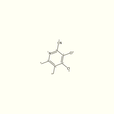 Cc1nc(C#N)c(Cl)c(Cl)c1C